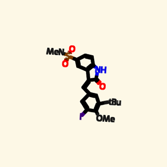 CNS(=O)(=O)c1ccc2c(c1)C(=Cc1cc(I)c(OC)c(C(C)(C)C)c1)C(=O)N2